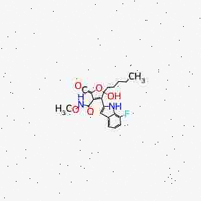 CCCCCC1(O)OC(=C=O)C(C(=O)NOC)=C1c1cc2cccc(F)c2[nH]1